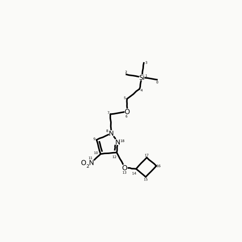 C[Si](C)(C)CCOCn1cc([N+](=O)[O-])c(OC2CCC2)n1